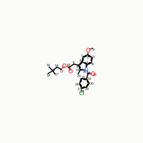 COc1ccc2c(c1)c(CC(=O)OCCC(C)(C)C)c(C)n2C(=O)c1ccc(Cl)cc1